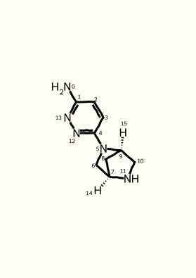 Nc1ccc(N2C[C@H]3C[C@@H]2CN3)nn1